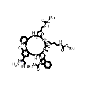 CN1C(=O)[C@H](CCCCNC(=O)OC(C)(C)C)NC(=O)[C@H](CCCNC(=O)OC(C)(C)C)NCc2cccnc2Sc2c(Cl)cc(/C(C=N)=N/N)cc2CNC(=O)[C@@H]1Cc1cn(C(=O)OC(C)(C)C)c2ccccc12